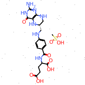 CS(=O)(=O)O.Nc1nc2c(c(=O)[nH]1)N[C@@H](CNc1ccc(C(=O)NC(CCC(=O)O)C(=O)O)cc1)CN2